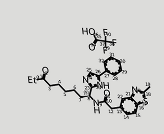 CCC(=O)CCCCC[C@H](NC(=O)Cc1ccc2sc(C)nc2c1)c1ncc(-c2ccccc2)[nH]1.O=C(O)C(F)(F)F